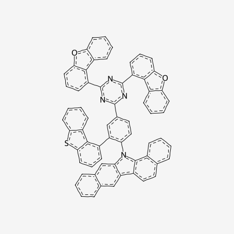 c1ccc2cc3c(cc2c1)c1ccc2ccccc2c1n3-c1ccc(-c2nc(-c3cccc4oc5ccccc5c34)nc(-c3cccc4oc5ccccc5c34)n2)cc1-c1cccc2sc3ccccc3c12